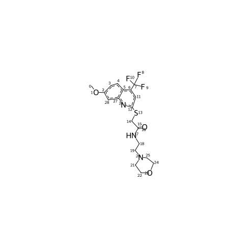 COc1ccc2c(C(F)(F)F)cc(SCC(=O)NCCN3CCOCC3)nc2c1